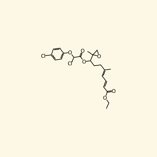 CCOC(=O)C=CC=C(C)CCC(OC(=O)C(Cl)Oc1ccc(Cl)cc1)C1(C)CO1